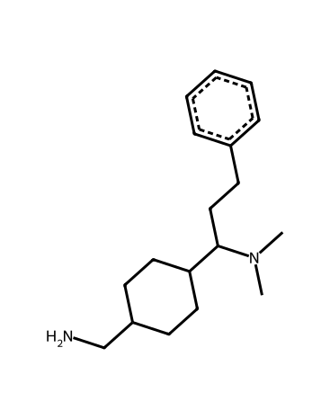 CN(C)C(CCc1ccccc1)C1CCC(CN)CC1